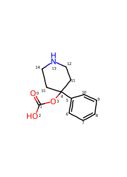 O=C(O)OC1(c2ccccc2)CCNCC1